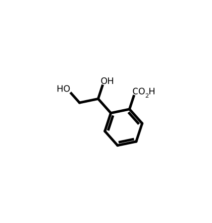 O=C(O)c1ccccc1C(O)CO